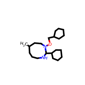 CC1CCCNC(C2CCCCC2)N(OCC2CCCCC2)CC1